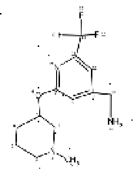 CN1CCCC(Oc2cc(CN)cc(C(F)(F)F)n2)C1